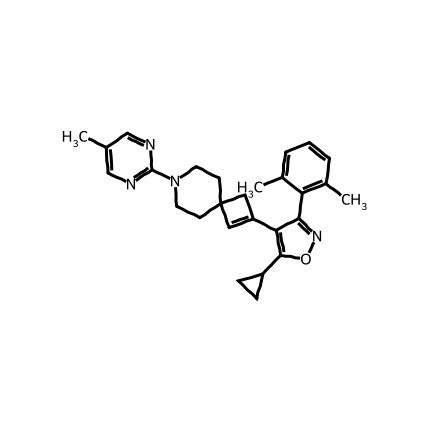 Cc1cnc(N2CCC3(C=C(c4c(-c5c(C)cccc5C)noc4C4CC4)C3)CC2)nc1